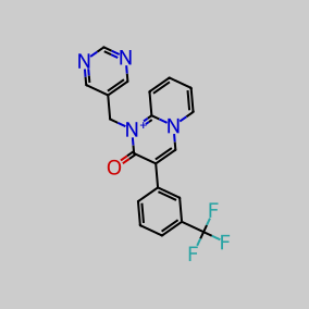 O=c1c(-c2cccc(C(F)(F)F)c2)cn2ccccc2[n+]1Cc1cncnc1